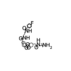 CC(C)(N)CNC(=O)CC1CC[C@]2(CC1)OO[C@]1(O2)C2CC3CC1CC(C(=O)NCCCNC(=O)c1ccc(F)cc1)(C3)C2